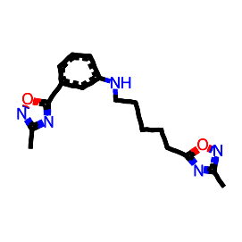 Cc1noc(CCCCCNc2cccc(-c3nc(C)no3)c2)n1